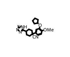 COc1ccc(C2(C#N)CCC(c3nnn[nH]3)CC2)cc1OC1CCCC1